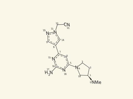 CN[C@@H]1CCN(c2cc(-c3cnn(CC#N)c3)nc(N)n2)C1